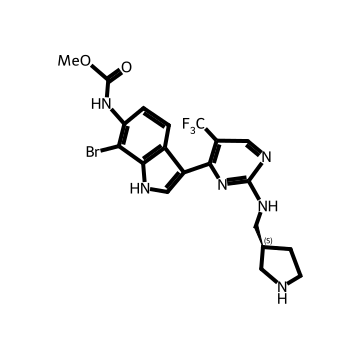 COC(=O)Nc1ccc2c(-c3nc(NC[C@H]4CCNC4)ncc3C(F)(F)F)c[nH]c2c1Br